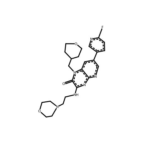 O=c1c(NCCN2CCOCC2)nc2ncc(-c3ccc(F)nc3)cc2n1CC1CCOCC1